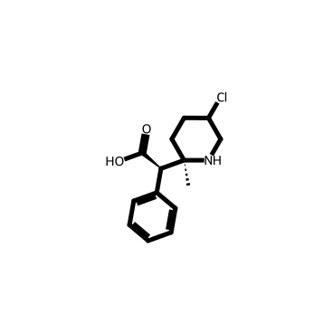 C[C@]1([C@H](C(=O)O)c2ccccc2)CCC(Cl)CN1